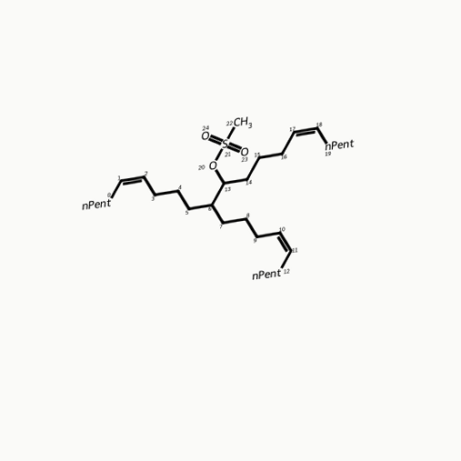 CCCCC/C=C\CCCC(CCC/C=C\CCCCC)C(CCC/C=C\CCCCC)OS(C)(=O)=O